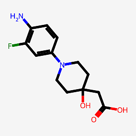 Nc1ccc(N2CCC(O)(CC(=O)O)CC2)cc1F